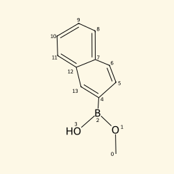 COB(O)c1ccc2ccccc2c1